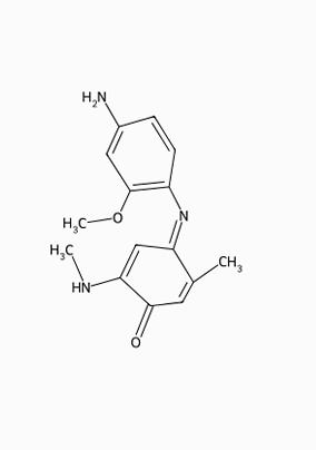 CNC1=CC(=Nc2ccc(N)cc2OC)C(C)=CC1=O